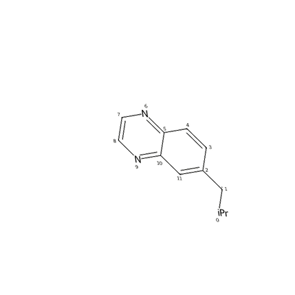 CC(C)[CH]c1ccc2nccnc2c1